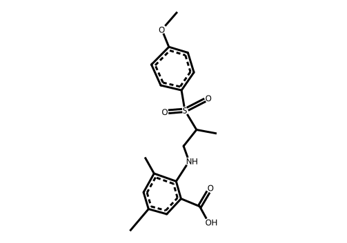 COc1ccc(S(=O)(=O)C(C)CNc2c(C)cc(C)cc2C(=O)O)cc1